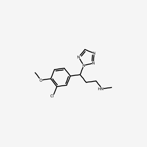 CNCCC(c1ccc(OC)c(Cl)c1)n1ncnn1